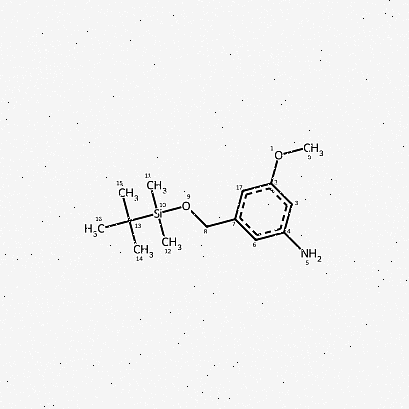 COc1cc(N)cc(CO[Si](C)(C)C(C)(C)C)c1